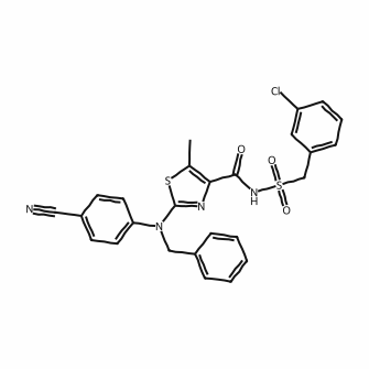 Cc1sc(N(Cc2ccccc2)c2ccc(C#N)cc2)nc1C(=O)NS(=O)(=O)Cc1cccc(Cl)c1